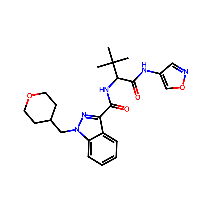 CC(C)(C)C(NC(=O)c1nn(CC2CCOCC2)c2ccccc12)C(=O)Nc1cnoc1